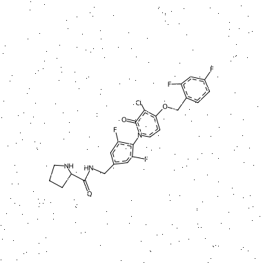 O=C(NCc1cc(F)c(-n2ccc(OCc3ccc(F)cc3F)c(Cl)c2=O)c(F)c1)C1CCCN1